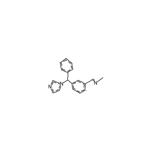 CN=Cc1[c]ccc(C(c2ccccc2)n2ccnc2)c1